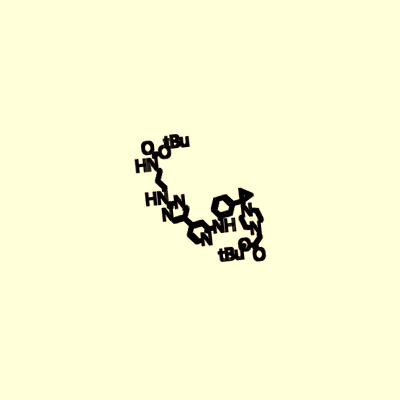 CC(C)(C)OC(=O)CN1CCN(C2(c3cccc(Nc4cc(-c5cnc(NCCCNC(=O)OC(C)(C)C)nc5)ccn4)c3)CC2)CC1